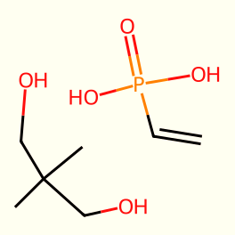 C=CP(=O)(O)O.CC(C)(CO)CO